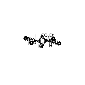 C=C(O)CN1CCN(CCC(=O)NCCN(Cc2ccccn2)Cc2ccccn2)CCN(CC(=O)OCC)CCN(CCC(=O)NCCN(Cc2ccccn2)Cc2ccccn2)CC1